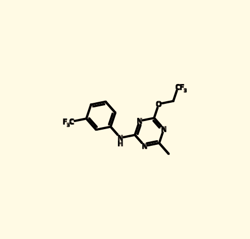 Cc1nc(Nc2cccc(C(F)(F)F)c2)nc(OCC(F)(F)F)n1